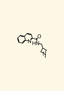 CN1CC(CNC(=O)c2ccc3ccccc3n2)C1